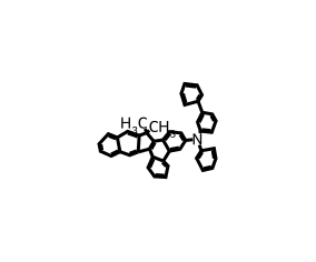 CC1(C)c2cc3ccccc3cc2-c2c1c1ccc(N(c3ccccc3)c3cccc(-c4ccccc4)c3)cc1c1ccccc21